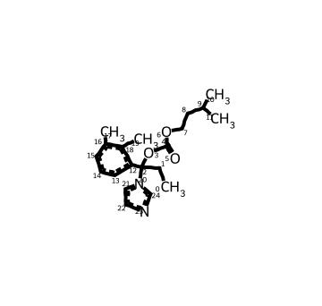 CCC(OC(=O)OCCC(C)C)(c1cccc(C)c1C)n1ccnc1